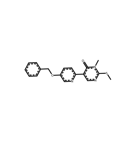 CSc1ncc(-c2ccc(OCc3ccccc3)cn2)c(=O)n1C